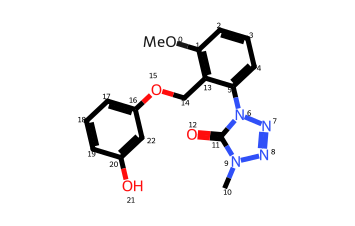 COc1cccc(-n2nnn(C)c2=O)c1COc1cccc(O)c1